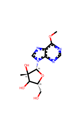 COc1ncnc2c1ncn2[C@@H]1O[C@H](CO)C(O)[C@]1(C)O